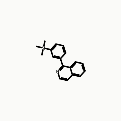 C[Si](C)(C)c1cccc(-c2nccc3ccccc23)c1